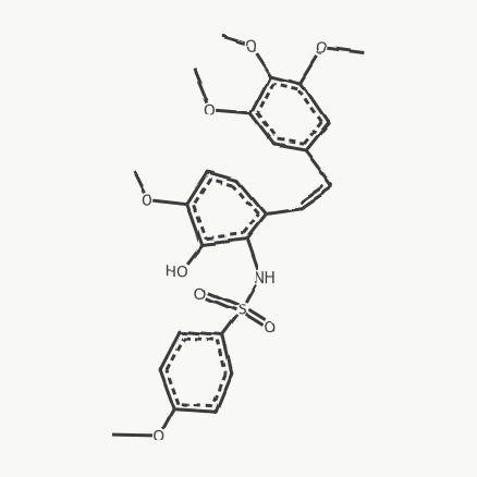 COc1ccc(S(=O)(=O)Nc2c(/C=C\c3cc(OC)c(OC)c(OC)c3)ccc(OC)c2O)cc1